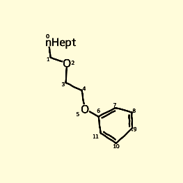 CCCCCCCCOCCOc1cc[c]cc1